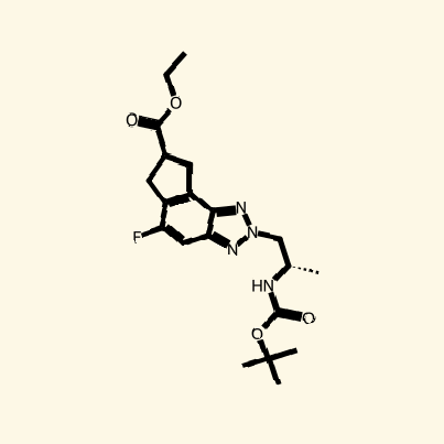 CCOC(=O)C1Cc2c(F)cc3nn(C[C@H](C)NC(=O)OC(C)(C)C)nc3c2C1